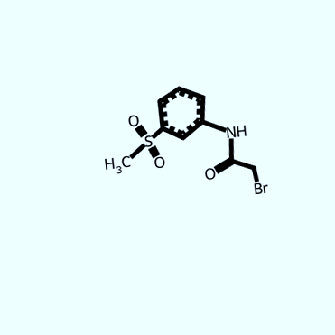 CS(=O)(=O)c1cccc(NC(=O)CBr)c1